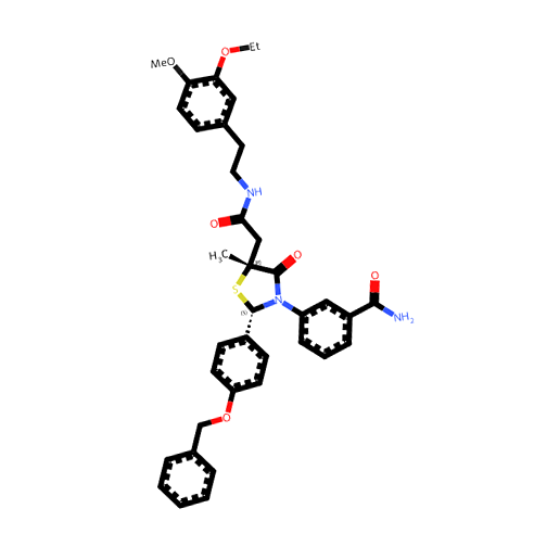 CCOc1cc(CCNC(=O)C[C@@]2(C)S[C@@H](c3ccc(OCc4ccccc4)cc3)N(c3cccc(C(N)=O)c3)C2=O)ccc1OC